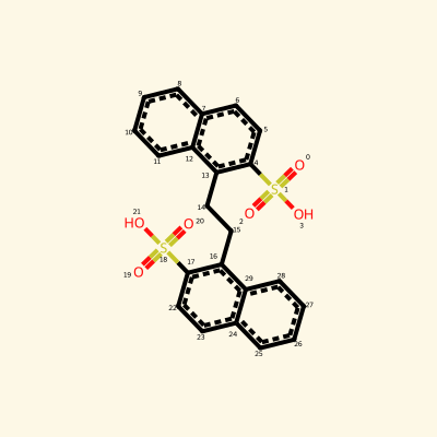 O=S(=O)(O)c1ccc2ccccc2c1CCc1c(S(=O)(=O)O)ccc2ccccc12